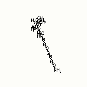 CC(C)(C)N(Cc1cc(Oc2cccc(C(=O)NCCOCCOCCOCCOCCOCCOCCOCCN)c2)nc(C(F)(F)F)c1)C(=O)O